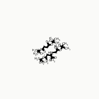 CC(C)(C)OC(=O)CCC(=O)OC(C)(C)C.CC(C)(C)OC(=O)CNC(CC(=O)OC(C)(C)C)C(N)=O